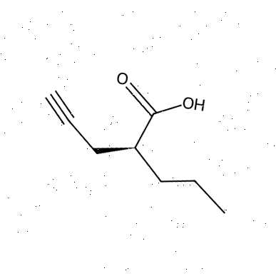 C#CC[C@H](CCC)C(=O)O